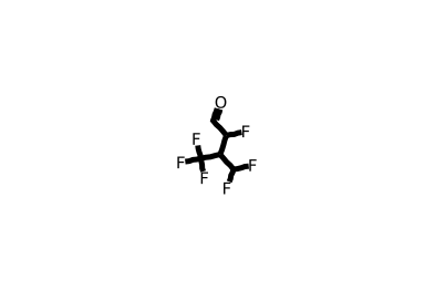 O=CC(F)C(C(F)F)C(F)(F)F